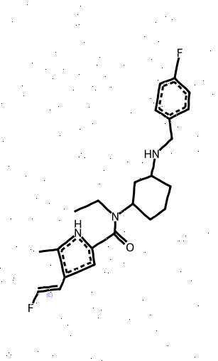 CCN(C(=O)c1cc(/C=C/F)c(C)[nH]1)C1CCCC(NCc2ccc(F)cc2)C1